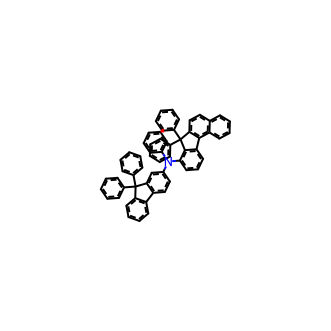 c1ccc(N(c2ccc3c(c2)C(c2ccccc2)(c2ccccc2)c2ccccc2-3)c2cccc3c2C(c2ccccc2)(c2ccccc2)c2ccc4ccccc4c2-3)cc1